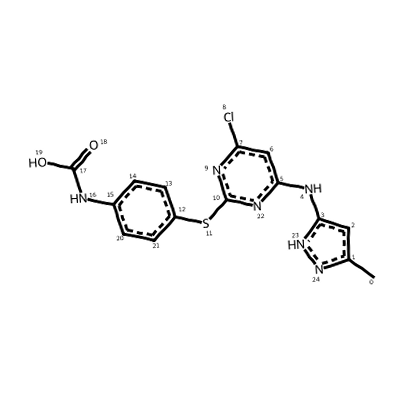 Cc1cc(Nc2cc(Cl)nc(Sc3ccc(NC(=O)O)cc3)n2)[nH]n1